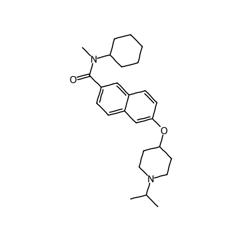 CC(C)N1CCC(Oc2ccc3cc(C(=O)N(C)C4CCCCC4)ccc3c2)CC1